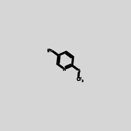 CC(C)c1ccc(SC(F)(F)F)nc1